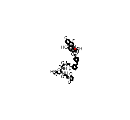 C[C@H](NC(=O)[C@H](Cc1c[nH]cn1)NC(=O)CCN1C(=O)C=CC1=O)C(=O)N[C@@H](C)CNc1cccc(Cc2ccc([C@@H]3O[C@@H]4C[C@H]5[C@@H]6C[C@H](F)C7=CC(=O)C=C[C@]7(C)[C@@]6(F)[C@@H](O)C[C@]5(C)[C@]4(C(=O)CO)O3)cc2)c1